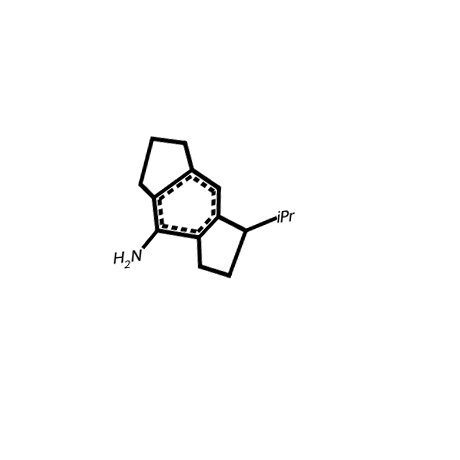 CC(C)C1CCc2c1cc1c(c2N)CCC1